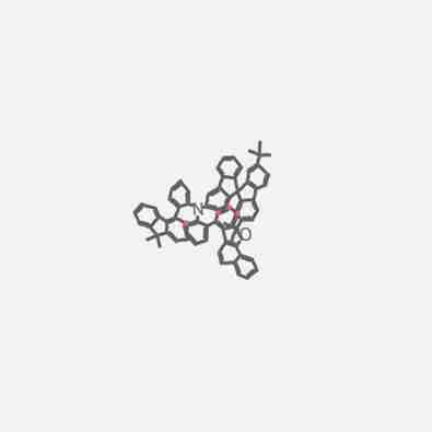 CC(C)(C)c1ccc2c(c1)C1(c3ccccc3-c3cc(N(c4ccccc4-c4cccc5c4-c4ccccc4C5(C)C)c4ccccc4-c4cccc5oc6c7ccccc7ccc6c45)ccc31)c1cc(C(C)(C)C)ccc1-2